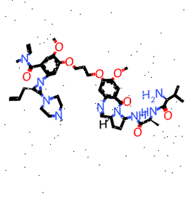 C=CC[C@@H]1C(N2CCN(C)CC2)N1c1cc(OCCCOc2cc3c(cc2OC)C(=O)N2C(NC(=O)[C@H](C)NC(=O)[C@@H](N)C(C)C)CC[C@H]2C=N3)c(OC)cc1C(=O)N(C)C=C